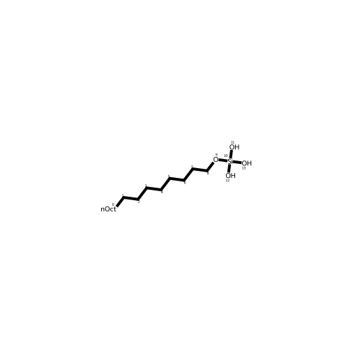 CCCCCCCCCCCCCCCCO[Si](O)(O)O